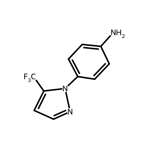 Nc1ccc(-n2nccc2C(F)(F)F)cc1